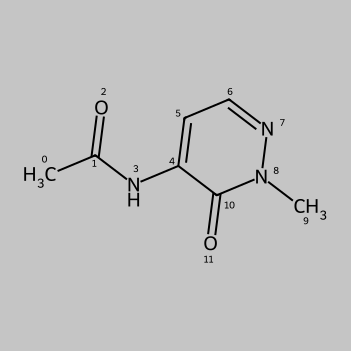 CC(=O)Nc1ccnn(C)c1=O